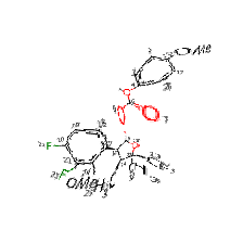 COc1ccc(OC(=O)O[C@@H]2O[C@@](C)(C(F)(F)F)[C@@H](C)[C@H]2c2ccc(F)c(F)c2OC)cc1